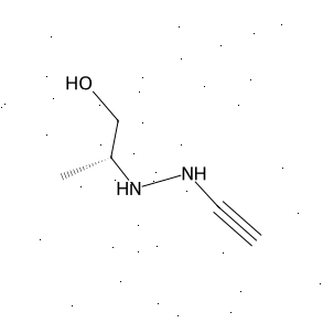 C#CNN[C@H](C)CO